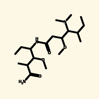 CCC(C)C(C(CC(=O)NC(CC)C(OC)C(C)C(N)=O)OC)N(C)C